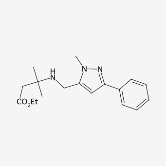 CCOC(=O)CC(C)(C)NCc1cc(-c2ccccc2)nn1C